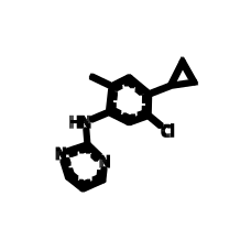 Cc1cc(C2CC2)c(Cl)cc1Nc1ncccn1